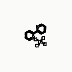 [Cl][Os]([Cl])([Cl])[Cl].c1ccc(-c2ccccn2)nc1